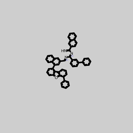 N=C(/N=C(\N=C\c1cc(-c2cccc3oc4c(-c5ccccc5)cccc4c23)c2ccccc2c1)c1cccc(-c2ccccc2)c1)c1ccc2ccccc2c1